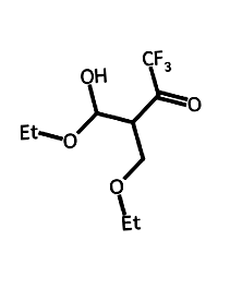 CCOCC(C(=O)C(F)(F)F)C(O)OCC